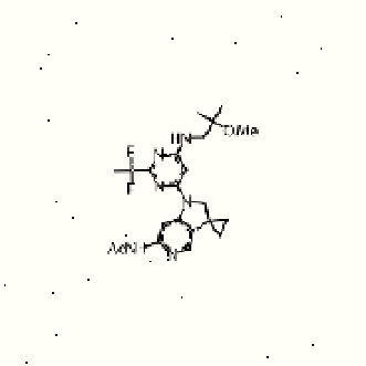 COC(C)(C)CNc1cc(N2CC3(CC3)c3cnc(NC(C)=O)cc32)nc(C(C)(F)F)n1